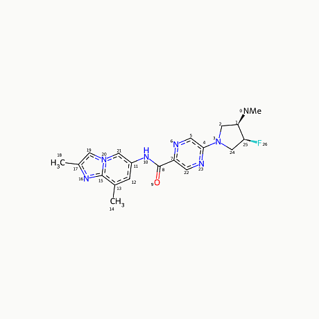 CN[C@@H]1CN(c2cnc(C(=O)Nc3cc(C)c4nc(C)cn4c3)cn2)C[C@@H]1F